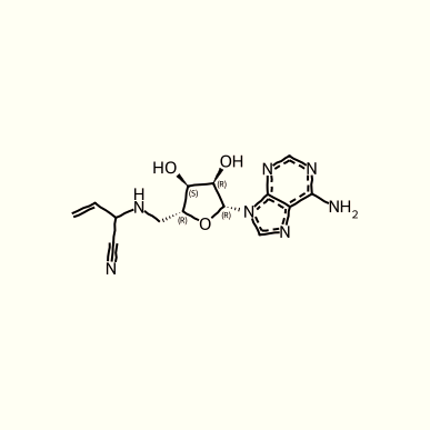 C=CC(C#N)NC[C@H]1O[C@@H](n2cnc3c(N)ncnc32)[C@H](O)[C@@H]1O